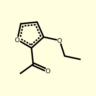 CCOc1ccoc1C(C)=O